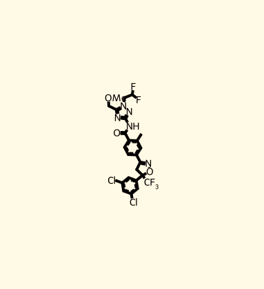 COCc1nc(NC(=O)c2ccc(C3=NOC(c4cc(Cl)cc(Cl)c4)(C(F)(F)F)C3)cc2C)nn1CC(F)F